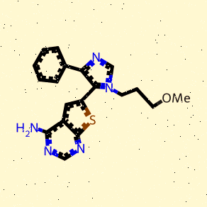 COCCCn1cnc(-c2ccccc2)c1-c1cc2c(N)ncnc2s1